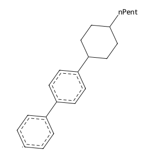 CCCCCC1CCC(c2ccc(-c3cc[c]cc3)cc2)CC1